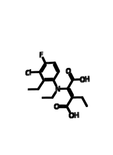 CCC(C(=O)O)=C(C(=O)O)N(CC)c1ccc(F)c(Cl)c1CC